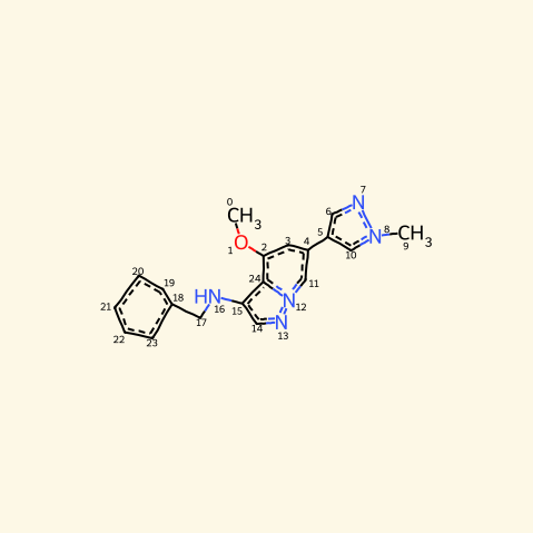 COc1cc(-c2cnn(C)c2)cn2ncc(NCc3ccccc3)c12